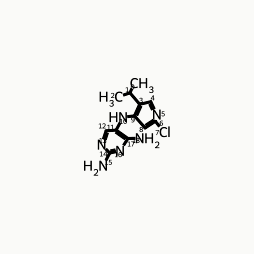 CC(C)c1cnc(Cl)cc1Nc1cnc(N)nc1N